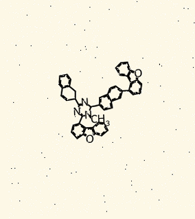 CN1C(c2cccc3oc4ccccc4c23)=NC(C2C=Cc3ccccc3C2)=NC1c1ccc2cc(-c3cccc4oc5ccccc5c34)ccc2c1